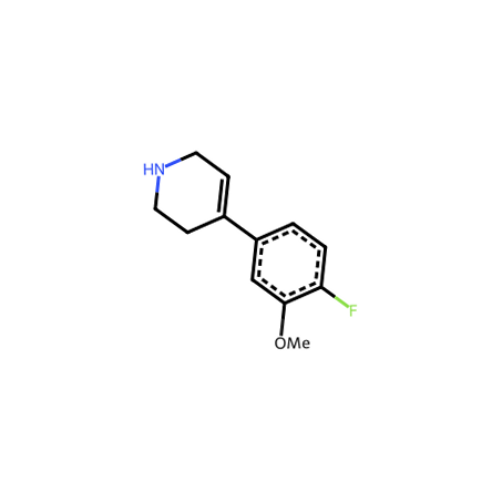 COc1cc(C2=CCNCC2)ccc1F